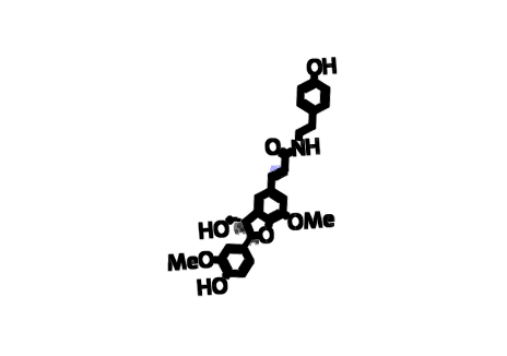 COc1cc([C@@H]2Oc3c(OC)cc(/C=C/C(=O)NCCc4ccc(O)cc4)cc3[C@H]2CO)ccc1O